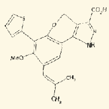 COc1c(C=C(C)C)cc2c(c1-c1cccs1)OCc1c(C(=O)O)n[nH]c1-2